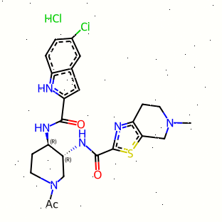 CC(=O)N1CC[C@@H](NC(=O)c2cc3cc(Cl)ccc3[nH]2)[C@H](NC(=O)c2nc3c(s2)CN(C)CC3)C1.Cl